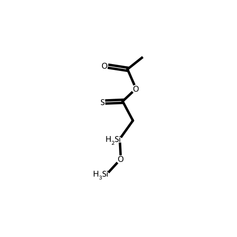 CC(=O)OC(=S)C[SiH2]O[SiH3]